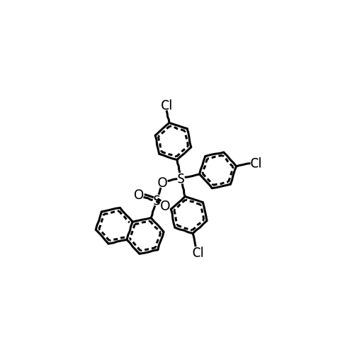 O=S(=O)(OS(c1ccc(Cl)cc1)(c1ccc(Cl)cc1)c1ccc(Cl)cc1)c1cccc2ccccc12